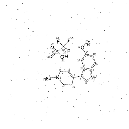 CCCCN1CC=C(c2c[nH]c3ccc(OCC)cc23)CC1.O=S(=O)(O)C(F)(F)F